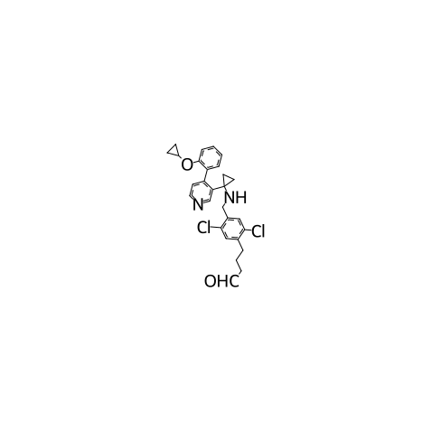 O=CCCCc1cc(Cl)c(CNC2(c3cnccc3-c3ccccc3OC3CC3)CC2)cc1Cl